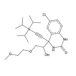 COCCOCC(O)C1(C#C[Si](C(C)C)(C(C)C)C(C)C)NC(=O)Nc2ccc(Cl)cc21